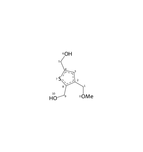 COCc1cc(CO)sc1CO